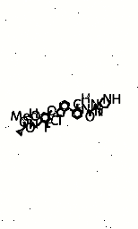 COc1cc(OC2CCc3c(-c4cccc(NC(=O)c5nc6c(n5C)CCNC6)c4Cl)cccc32)c(Cl)c(F)c1CNOC(=O)C1CC1